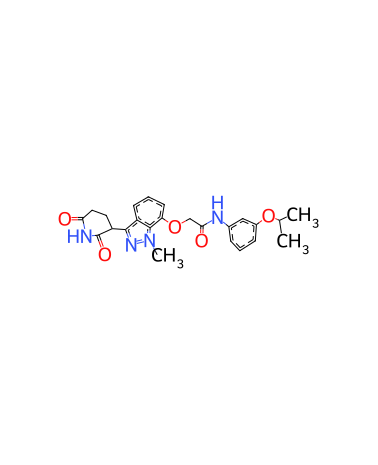 CC(C)Oc1cccc(NC(=O)COc2cccc3c(C4CCC(=O)NC4=O)nn(C)c23)c1